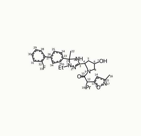 CCN1N=C(C2CC(O)CN2C(=O)C(c2cc(C)no2)C(C)C)NC1(C)c1ccc(-c2ccccc2F)cc1